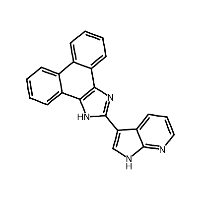 c1cnc2[nH]cc(-c3nc4c5ccccc5c5ccccc5c4[nH]3)c2c1